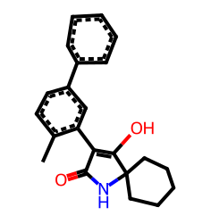 Cc1ccc(-c2ccccc2)cc1C1=C(O)C2(CCCCC2)NC1=O